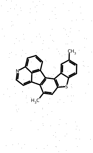 Cc1ccc2sc3cc(C)c4c(c3c2c1)-c1cccc2nccc-4c12